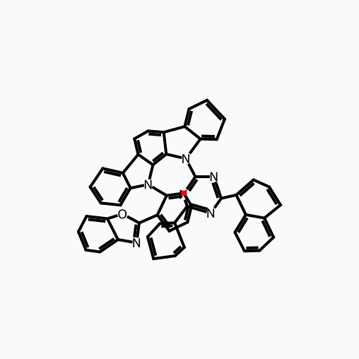 c1ccc(-c2nc(-c3cccc4ccccc34)nc(-n3c4ccccc4c4ccc5c6ccccc6n(-c6ccccc6-c6nc7ccccc7o6)c5c43)n2)cc1